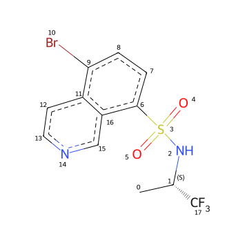 C[C@H](NS(=O)(=O)c1ccc(Br)c2ccncc12)C(F)(F)F